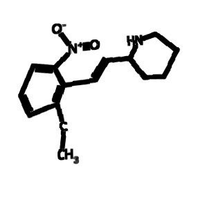 CCc1cccc([N+](=O)[O-])c1C=CC1CCCCN1